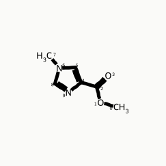 COC(=O)c1cn(C)cn1